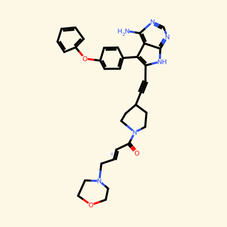 Nc1ncnc2[nH]c(C#CC3CCN(C(=O)/C=C/CN4CCOCC4)CC3)c(-c3ccc(Oc4ccccc4)cc3)c12